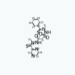 CN(NS(=O)(=O)CC(=O)NN(C)C(=S)c1cnccn1)C(=S)c1ccccc1